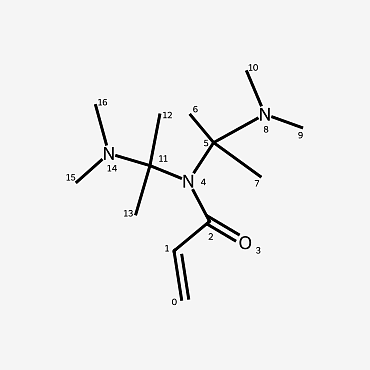 C=CC(=O)N(C(C)(C)N(C)C)C(C)(C)N(C)C